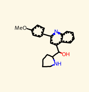 COc1ccc(-c2cc(C(O)C3CCCCN3)c3ccccc3n2)cc1